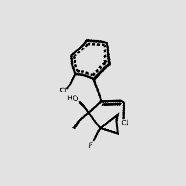 CC(O)(C(=CCl)c1ccccc1Cl)C1(F)CC1